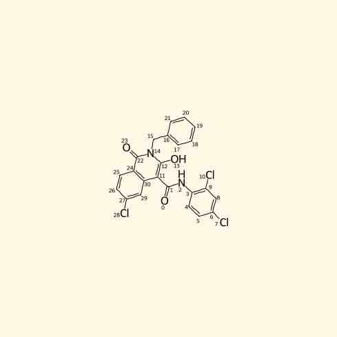 O=C(Nc1ccc(Cl)cc1Cl)c1c(O)n(Cc2ccccc2)c(=O)c2ccc(Cl)cc12